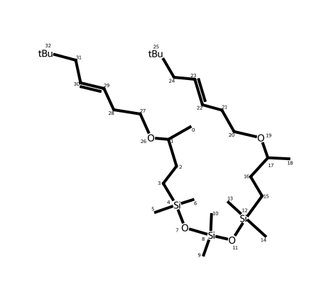 CC(CC[Si](C)(C)O[Si](C)(C)O[Si](C)(C)CCC(C)OCC/C=C/CC(C)(C)C)OCC/C=C/CC(C)(C)C